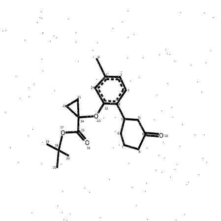 Cc1ccc(C2CCCC(=O)C2)c(OC2(C(=O)OC(C)(C)C)CC2)c1